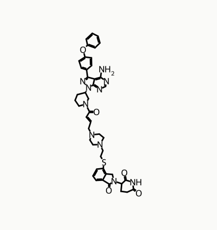 Nc1ncnc2c1c(-c1ccc(Oc3ccccc3)cc1)nn2[C@@H]1CCCN(C(=O)/C=C/CN2CCN(CCSc3cccc4c3CN(C3CCC(=O)NC3=O)C4=O)CC2)C1